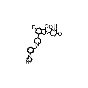 O=C1CCC(N2Cc3c(cc(F)cc3C3CCN(Cc4cccc(-n5ccnc5)c4)CC3)C2=O)C(=O)N1